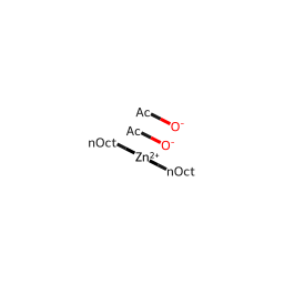 CC(=O)[O-].CC(=O)[O-].CCCCCCC[CH2][Zn+2][CH2]CCCCCCC